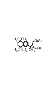 COCC1C(CO)[C@]1(C)c1ccc2c(c1)C(C)(C)CCC2(C)C